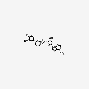 C[C@H]1[C@H](O)[C@@H](COP2(=O)OCC[C@H](c3ccc(F)c(Br)c3)O2)O[C@H]1n1ccc2c(N)ncnc21